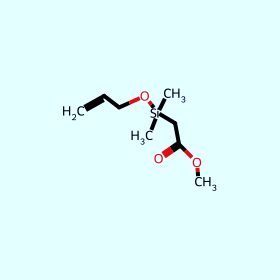 C=CCO[Si](C)(C)CC(=O)OC